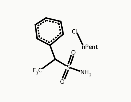 CCCCCCl.NS(=O)(=O)C(c1ccccc1)C(F)(F)F